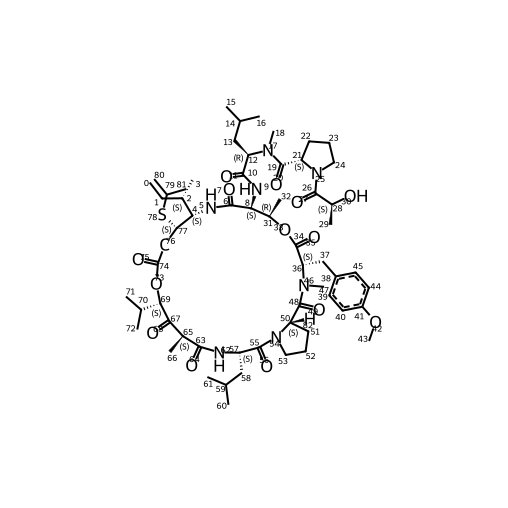 CC[C@H](C)[C@@H]1NC(=O)[C@@H](NC(=O)[C@@H](CC(C)C)N(C)C(=O)[C@@H]2CCCN2C(=O)[C@H](C)O)[C@@H](C)OC(=O)[C@H](Cc2ccc(OC)cc2)N(C)C(=O)[C@@H]2CCCN2C(=O)[C@H](CC(C)C)NC(=O)[C@@H](C)C(=O)[C@H](C(C)C)OC(=O)C[C@@H]1SC(C)C